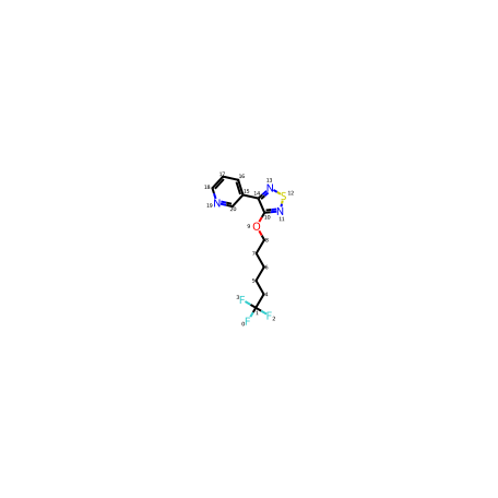 FC(F)(F)CCCCCOc1nsnc1-c1cccnc1